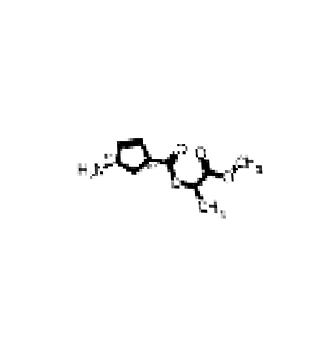 COC(=O)C(C)OC(=O)[C@@H]1C=C[C@H](N)C1